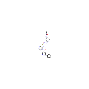 C=CC(=O)N[C@H]1CCC[C@H](NC(=O)c2sc3nccc4c3c2NC(=O)N4c2ccnc(-c3ccccc3)c2)C1